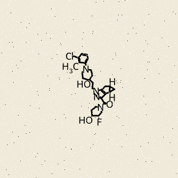 Cc1c(Cl)cccc1N1CCC(O)(CCn2nc(C(=O)N3CC[C@@H](O)[C@@H](F)C3)c3c2C[C@H]2C[C@@H]32)CC1